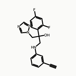 C#Cc1cccc(NCC(O)(Cn2cncn2)c2ccc(F)cc2F)c1